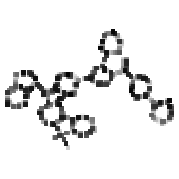 CC1(C)c2ccccc2-c2c1ccc1c2c2cc(-c3ccc(Nc4ccc(-c5ccccc5)cc4)c(-c4ccccc4)c3)ccc2n1-c1cccc2ccccc12